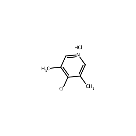 Cc1cncc(C)c1Cl.Cl